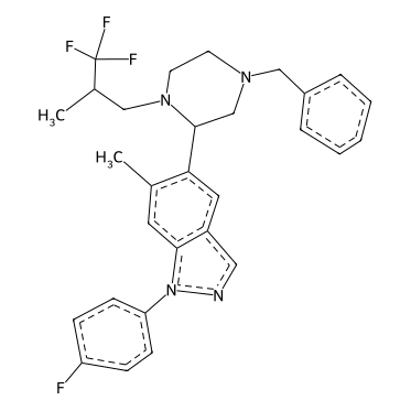 Cc1cc2c(cnn2-c2ccc(F)cc2)cc1C1CN(Cc2ccccc2)CCN1CC(C)C(F)(F)F